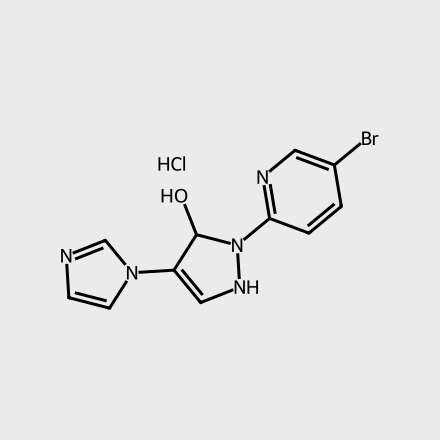 Cl.OC1C(n2ccnc2)=CNN1c1ccc(Br)cn1